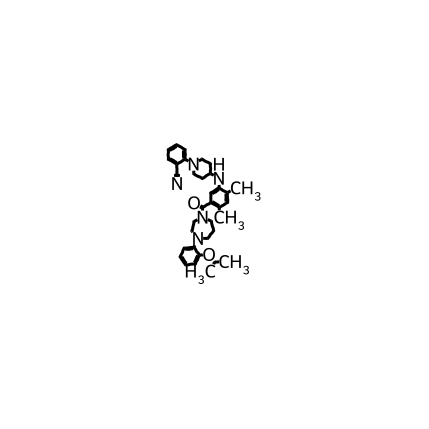 Cc1cc(C)c(C(=O)N2CCCN(c3ccccc3OC(C)C)CC2)cc1NC1CCN(c2ccccc2C#N)CC1